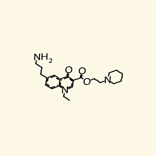 CCn1cc(C(=O)OCCN2CCCCC2)c(=O)c2cc(CCCN)ccc21